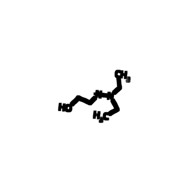 CCN(CC)[N]CCO